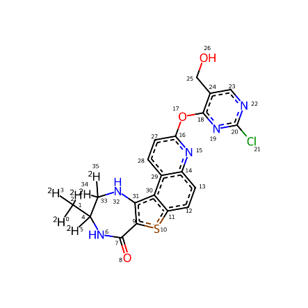 [2H]C([2H])([2H])C1([2H])NC(=O)c2sc3ccc4nc(Oc5nc(Cl)ncc5CO)ccc4c3c2NC1([2H])[2H]